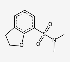 CN(C)S(=O)(=O)c1cccc2c1OCC2